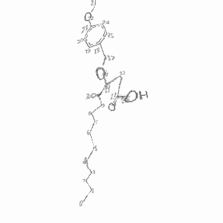 CCCCCCCCCCC[C@H](CC(=O)O)OCc1ccc(OC)cc1